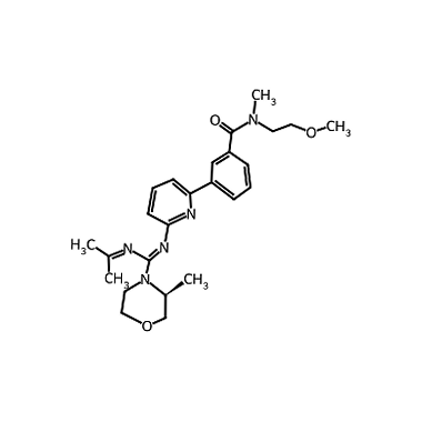 COCCN(C)C(=O)c1cccc(-c2cccc(/N=C(\N=C(C)C)N3CCOC[C@@H]3C)n2)c1